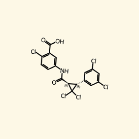 O=C(O)c1cc(NC(=O)[C@H]2[C@H](c3cc(Cl)cc(Cl)c3)C2(Cl)Cl)ccc1Cl